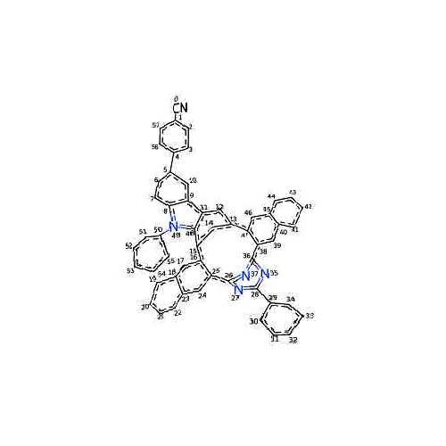 N#Cc1ccc(-c2ccc3c(c2)c2cc4cc(c5cc6ccccc6cc5c5nc(-c6ccccc6)nc(n5)c5cc6ccccc6cc45)c2n3-c2ccccc2)cc1